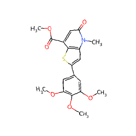 COC(=O)c1cc(=O)n(C)c2cc(-c3cc(OC)c(OC)c(OC)c3)sc12